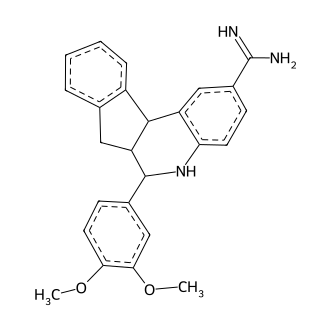 COc1ccc(C2Nc3ccc(C(=N)N)cc3C3c4ccccc4CC23)cc1OC